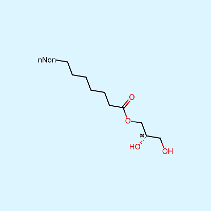 CCCCCCCCCCCCCCCC(=O)OC[C@@H](O)CO